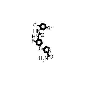 NC(=O)c1cc(Oc2ccc(NC(=O)Nc3cc(Br)ccc3Cl)c(F)c2)ccn1